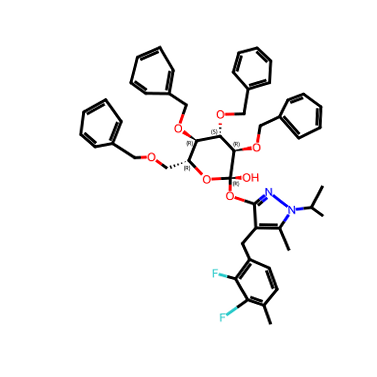 Cc1ccc(Cc2c(O[C@]3(O)O[C@H](COCc4ccccc4)[C@@H](OCc4ccccc4)[C@H](OCc4ccccc4)[C@H]3OCc3ccccc3)nn(C(C)C)c2C)c(F)c1F